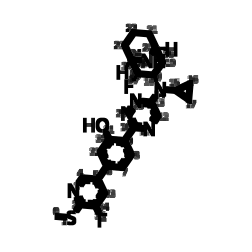 CSc1ncc(-c2ccc(-c3ncc(N(C4CC4)[C@H]4C[C@@H]5CCC[C@@H](N5)[C@H]4F)nn3)c(O)c2)cc1F